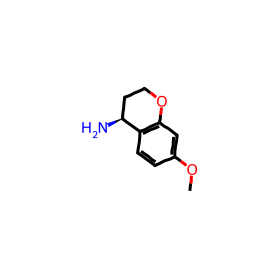 COc1ccc2c(c1)OCC[C@@H]2N